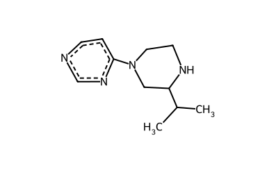 CC(C)C1CN(c2ccncn2)CCN1